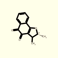 CC1C2=C(O[C@@H]1C)c1ccccc1C(=O)C2=O